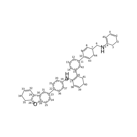 C1=CCCC(NCC2C=CC(c3cccc(C4=C(Nc5ccc(-c6ccc7oc8c(c7c6)C=CCC8)cc5)C=CCC4)c3)=CC2)=C1